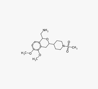 COc1ccc2c(c1OC)CC(C1CCN(S(C)(=O)=O)CC1)OC2CN